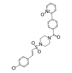 O=C(c1ccc(-c2cccc[n+]2[O-])cc1)N1CCN(S(=O)(=O)C=Cc2ccc(Cl)cc2)CC1